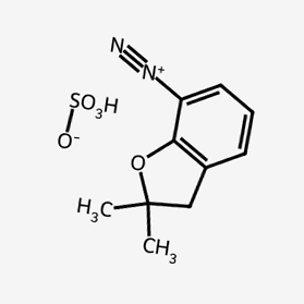 CC1(C)Cc2cccc([N+]#N)c2O1.O=S(=O)([O-])O